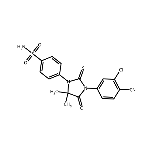 CC1(C)C(=O)N(c2ccc(C#N)c(Cl)c2)C(=S)N1c1ccc(S(N)(=O)=O)cc1